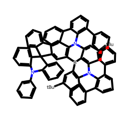 CC(C)(C)c1ccc2c(c1)B1c3cc4c(cc3N(c3c(-c5ccccc5)cccc3-c3ccccc3)c3cc(C(C)(C)C)cc(c31)N2c1c(-c2ccccc2)cccc1-c1ccccc1)-c1ccccc1C41c2ccccc2N(c2ccccc2)c2ccccc21